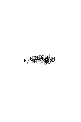 O=C1COc2c(O)c(NC(=O)C(F)(F)C(F)(F)C(F)(F)C(F)(F)C(F)(F)C(F)(F)C(F)(F)F)cc(Cl)c2N1